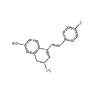 CC(C)COc1ccc2c(c1)CC(C)N=C2/C=C/c1ccc(Cl)cc1